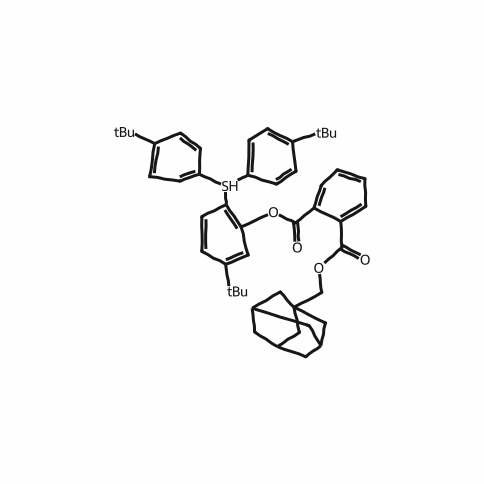 CC(C)(C)c1ccc([SH](c2ccc(C(C)(C)C)cc2)c2ccc(C(C)(C)C)cc2OC(=O)c2ccccc2C(=O)OCC23CC4CC(CC(C4)C2)C3)cc1